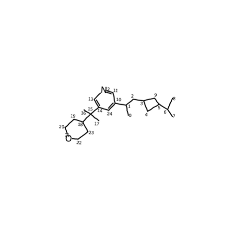 CC(CC1CC(C(C)C)C1)c1cncc(C(C)(C)C2CCOCC2)c1